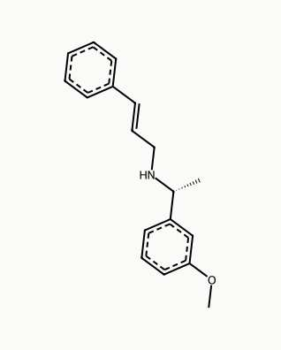 COc1cccc([C@@H](C)NCC=Cc2ccccc2)c1